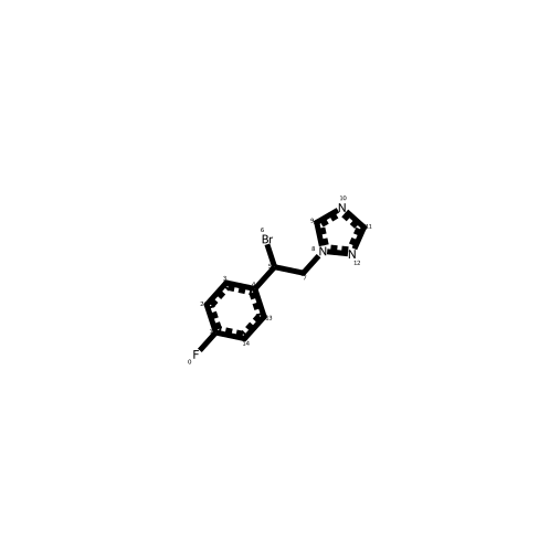 Fc1ccc(C(Br)Cn2cncn2)cc1